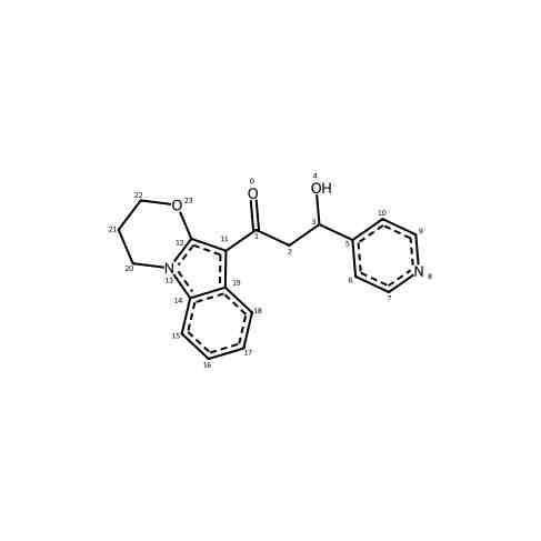 O=C(CC(O)c1ccncc1)c1c2n(c3ccccc13)CCCO2